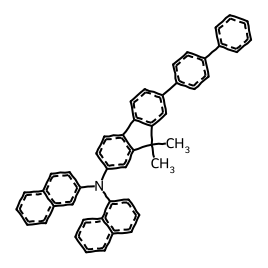 CC1(C)c2cc(-c3ccc(-c4ccccc4)cc3)ccc2-c2ccc(N(c3ccc4ccccc4c3)c3cccc4ccccc34)cc21